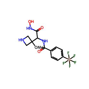 COC1(C(NC(=O)c2ccc(S(F)(F)(F)(F)F)cc2)C(=O)NO)CNC1